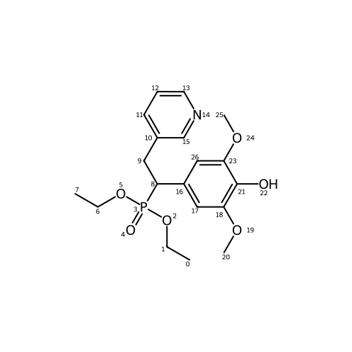 CCOP(=O)(OCC)C(Cc1cccnc1)c1cc(OC)c(O)c(OC)c1